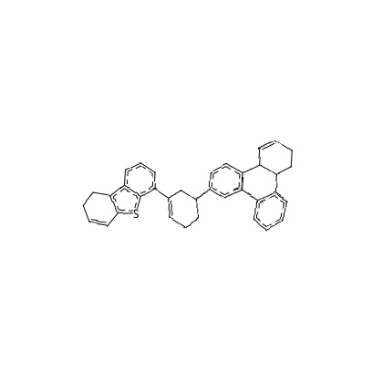 C1=Cc2sc3c(C4=CCCC(c5ccc6c(c5)-c5ccccc5C5CCC=CC65)C4)cccc3c2CC1